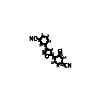 N#Cc1cccc(-c2cc(-c3ccc(C#N)cc3Cl)on2)c1